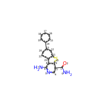 NC(=O)c1cnc(N)c2c1sc1cc(-c3ccccc3)ccc12